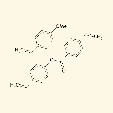 C=Cc1ccc(OC(=O)c2ccc(C=C)cc2)cc1.C=Cc1ccc(OC)cc1